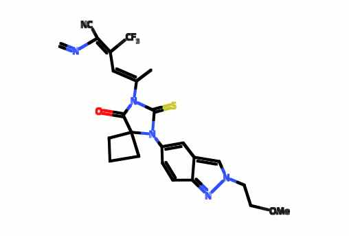 C=N/C(C#N)=C(\C=C(/C)N1C(=O)C2(CCC2)N(c2ccc3nn(CCOC)cc3c2)C1=S)C(F)(F)F